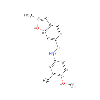 Cc1cc(NCc2ccc3cc(C(=O)O)oc3c2)ccc1OC(F)(F)F